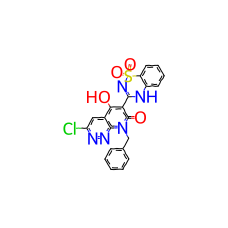 O=c1c(C2=NS(=O)(=O)c3ccccc3N2)c(O)c2cc(Cl)nnc2n1Cc1ccccc1